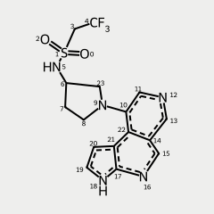 O=S(=O)(CC(F)(F)F)NC1CCN(c2cncc3cnc4[nH]ccc4c23)C1